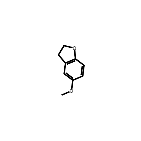 COc1ccc2c(c1)[CH]CO2